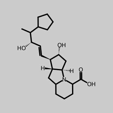 CC(C1CCCC1)[C@@H](O)/C=C/[C@@H]1[C@H]2CC3CCCC(C(=O)O)N3[C@@H]2C[C@H]1O